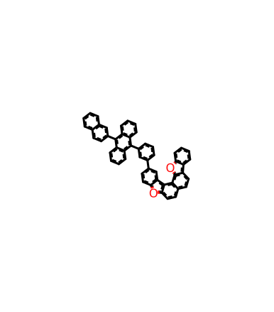 c1cc(-c2ccc3oc4ccc5ccc6c7ccccc7oc6c5c4c3c2)cc(-c2c3ccccc3c(-c3ccc4ccccc4c3)c3ccccc23)c1